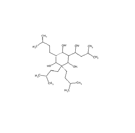 CC(C)CCC1C(O)C(C(O)CC(C)C)C(O)C(CCC(C)C)(CCC(C)C)C1O